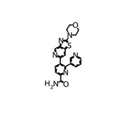 NC(=O)c1ccc(-c2cc3sc(N4CCOCC4)nc3cn2)c(-c2cccnc2)n1